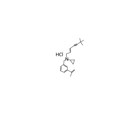 C=C(C)c1cccc(CN(CC=CC#CC(C)(C)C)C2CC2)c1.Cl